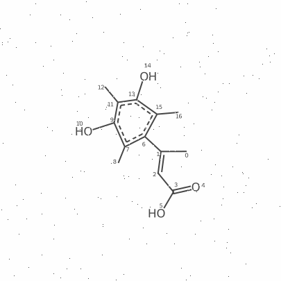 C/C(=C\C(=O)O)c1c(C)c(O)c(C)c(O)c1C